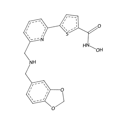 O=C(NO)c1ccc(-c2cccc(CNCc3ccc4c(c3)OCO4)n2)s1